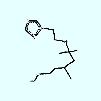 CC(CCOC(C)C)CC(C)(C)NCCn1cncn1